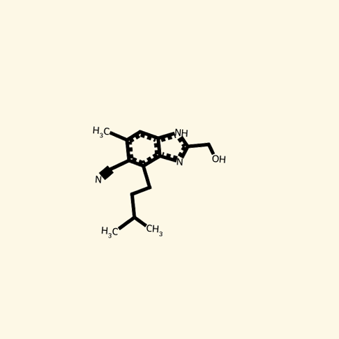 Cc1cc2[nH]c(CO)nc2c(CCC(C)C)c1C#N